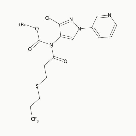 CC(C)(C)OC(=O)N(C(=O)CCSCCC(F)(F)F)c1cn(-c2cccnc2)nc1Cl